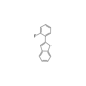 Fc1ccccc1C1=Cc2ccccc2[CH]1